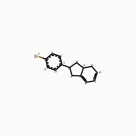 Brc1ccc(C2CC3=CC=CCC3C2)cc1